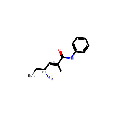 CC[C@H](C)C[C@@H](N)/C=C(\C)C(=O)Nc1ccccc1